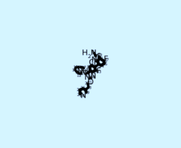 Nc1nc2c(-c3c(C(F)(F)F)cc4c(N5CC6CCC(C5)N6)nc(OCCc5cccnc5)nc4c3F)ccc(F)c2s1